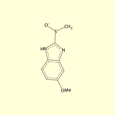 COc1ccc2[nH]c([S+](C)[O-])nc2c1